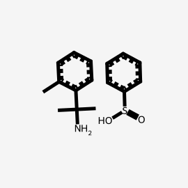 Cc1ccccc1C(C)(C)N.O=S(O)c1ccccc1